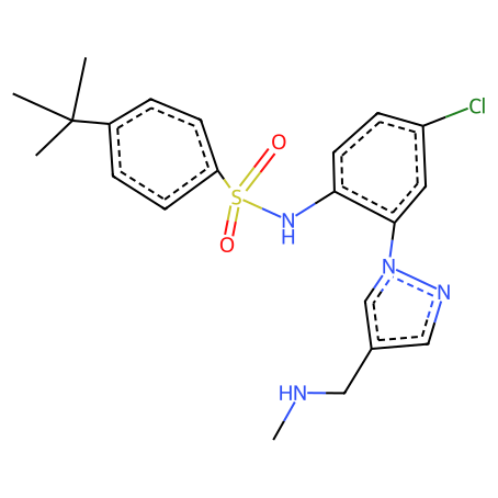 CNCc1cnn(-c2cc(Cl)ccc2NS(=O)(=O)c2ccc(C(C)(C)C)cc2)c1